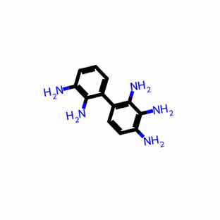 Nc1cccc(-c2ccc(N)c(N)c2N)c1N